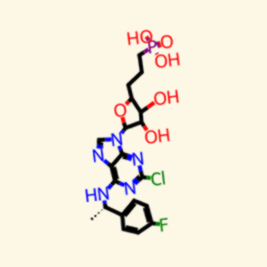 C[C@H](Nc1nc(Cl)nc2c1ncn2C1OC(CCCP(=O)(O)O)C(O)C1O)c1ccc(F)cc1